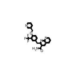 NC(=O)c1cc2cccnc2nc1Cc1ccc(OCc2cccnc2)c(C(F)(F)F)c1